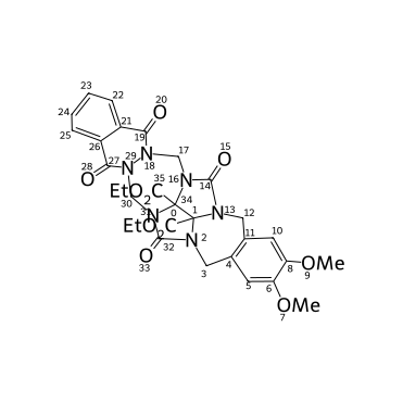 CCOC(=O)C12N3Cc4cc(OC)c(OC)cc4CN1C(=O)N1Cn4c(=O)c5ccccc5c(=O)n4CN(C3=O)C12C(=O)OCC